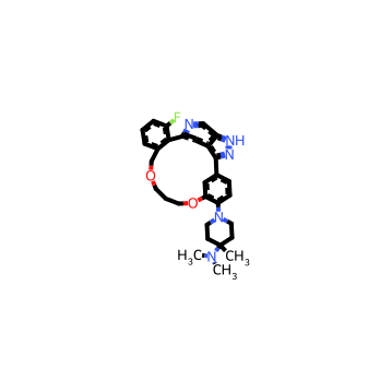 CN(C)C1(C)CCN(c2ccc3cc2OCCCOCc2cccc(F)c2-c2cc4c-3n[nH]c4cn2)CC1